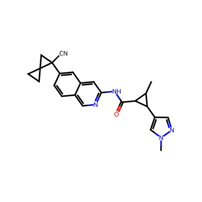 CC1C(C(=O)Nc2cc3cc(C4(C#N)CC45CC5)ccc3cn2)C1c1cnn(C)c1